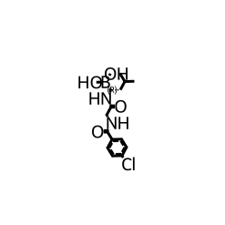 CC(C)C[C@H](NC(=O)CNC(=O)c1ccc(Cl)cc1)B(O)O